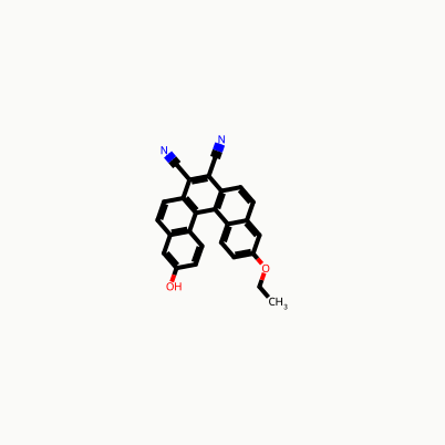 CCOc1ccc2c(ccc3c(C#N)c(C#N)c4ccc5cc(O)ccc5c4c32)c1